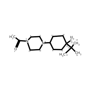 CC(=O)N1CCN(C2CCC(C)(C(C)(C)C)CC2)CC1